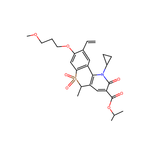 C=Cc1cc2c(cc1OCCCOC)S(=O)(=O)C(C)c1cc(C(=O)OC(C)C)c(=O)n(C3CC3)c1-2